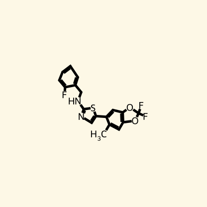 Cc1cc2c(cc1-c1cnc(NCc3ccccc3F)s1)OC(F)(F)O2